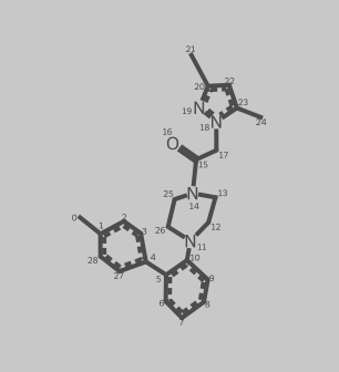 Cc1ccc(-c2ccccc2N2CCN(C(=O)Cn3nc(C)cc3C)CC2)cc1